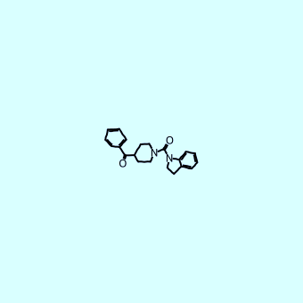 O=C(c1ccccc1)C1CCN(C(=O)N2CCc3ccccc32)CC1